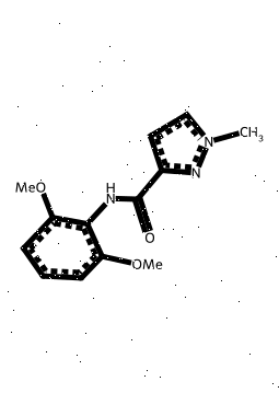 COc1cccc(OC)c1NC(=O)c1ccn(C)n1